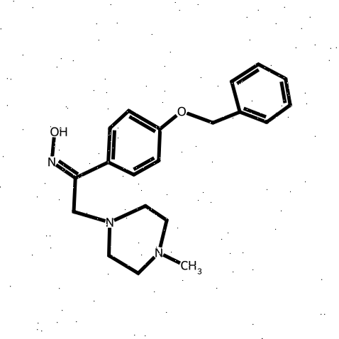 CN1CCN(C/C(=N/O)c2ccc(OCc3ccccc3)cc2)CC1